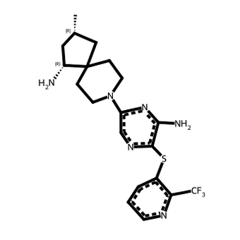 C[C@H]1C[C@@H](N)C2(CCN(c3cnc(Sc4cccnc4C(F)(F)F)c(N)n3)CC2)C1